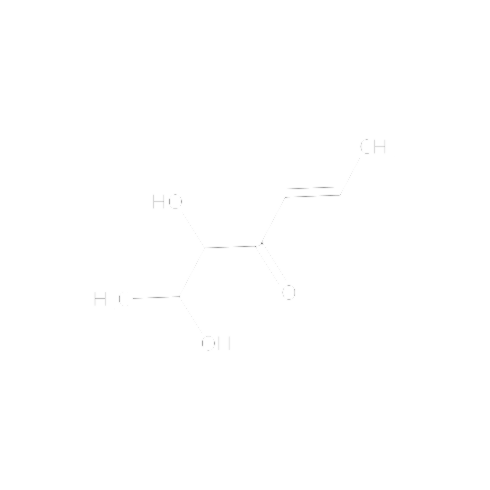 CC=CC(=O)C(O)C(C)O